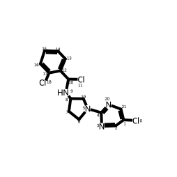 Clc1cnc(N2CCC(NC(Cl)c3ccccc3Cl)C2)nc1